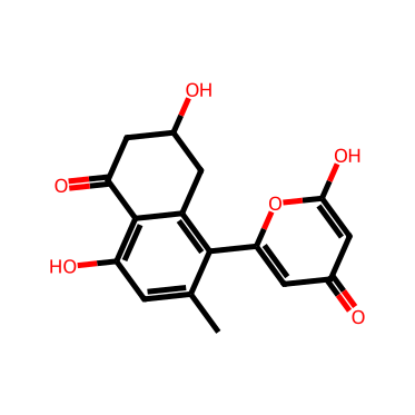 Cc1cc(O)c2c(c1-c1cc(=O)cc(O)o1)CC(O)CC2=O